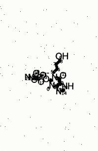 Cn1c(=O)n(CCCCO)c(=O)c2[nH]cnc21.O=S(=O)([O-])[O-].[Na+].[Na+]